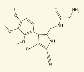 COc1ccc(-c2c(CNC(=O)CN)[nH]c(C#N)c2Br)c(OC)c1OC